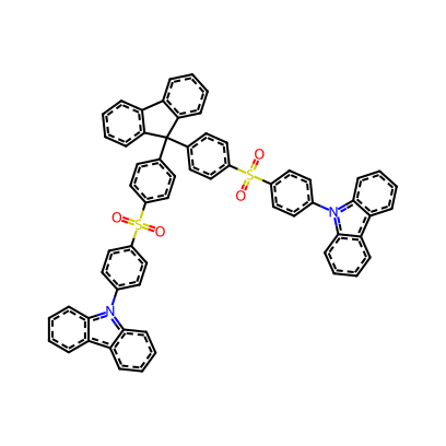 O=S(=O)(c1ccc(-n2c3ccccc3c3ccccc32)cc1)c1ccc(C2(c3ccc(S(=O)(=O)c4ccc(-n5c6ccccc6c6ccccc65)cc4)cc3)c3ccccc3-c3ccccc32)cc1